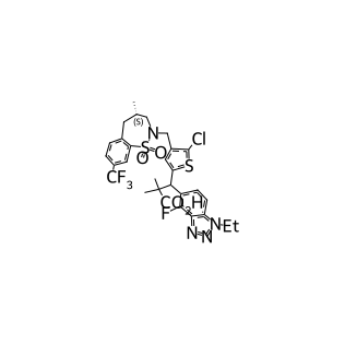 CCn1nnc2c(F)c(C(c3cc(CN4C[C@@H](C)Cc5ccc(C(F)(F)F)cc5S4(=O)=O)c(Cl)s3)C(C)(C)C(=O)O)ccc21